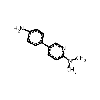 CN(C)c1ccc(-c2ccc(N)cc2)cn1